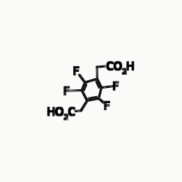 O=C(O)Cc1c(F)c(F)c(CC(=O)O)c(F)c1F